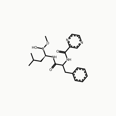 COB(O)[C@H](CC(C)C)NC(=O)C(Cc1ccccc1)NC(=O)c1cnccn1